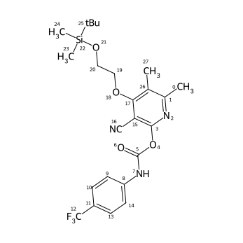 Cc1nc(OC(=O)Nc2ccc(C(F)(F)F)cc2)c(C#N)c(OCCO[Si](C)(C)C(C)(C)C)c1C